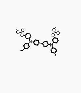 CCc1ccc(N(c2ccc(-c3ccc(N(c4ccc(C)cc4)c4cccc(OC(=O)OC)c4)cc3)cc2)c2cccc(OC(=O)OC)c2)cc1